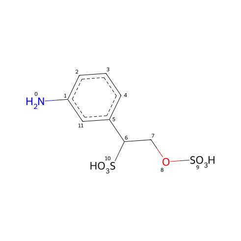 Nc1cccc(C(COS(=O)(=O)O)S(=O)(=O)O)c1